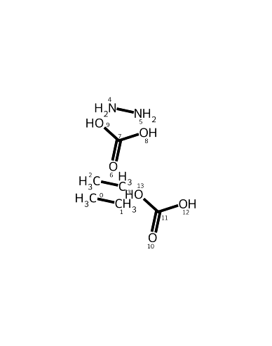 CC.CC.NN.O=C(O)O.O=C(O)O